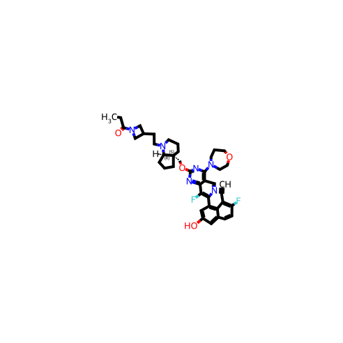 C#Cc1c(F)ccc2cc(O)cc(-c3ncc4c(N5CCCOCC5)nc(OC[C@]56CCC[C@H]5N(CCC5CN(C(=O)CC)C5)CCC6)nc4c3F)c12